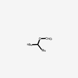 CCCCC(O[C]=O)C(C)CC